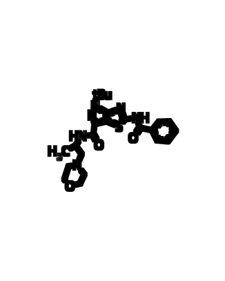 CC(CN1CCOCC1)NC(=O)c1nn(C(C)(C)C)c2nc(NC(=O)c3ccccc3)sc12